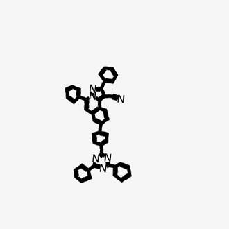 N#Cc1c(-c2ccccc2)nn2c(-c3ccccc3)cc3cc(-c4ccc(-c5nc(-c6ccccc6)nc(-c6ccccc6)n5)cc4)ccc3c12